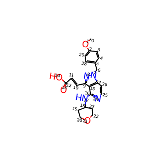 COc1ccc(Cn2nc(C=CC(=O)O)c3c(NC4CCOCC4)nccc32)cc1